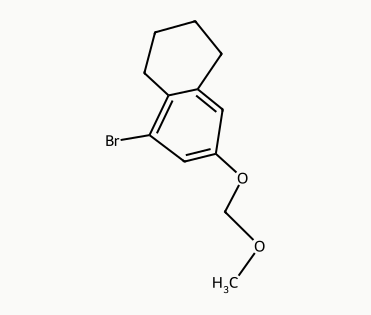 COCOc1cc(Br)c2c(c1)CCCC2